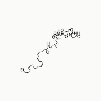 CC/C=C\C/C=C\C/C=C\C/C=C\C/C=C\C/C=C\CCC(=O)NCCN(C)CCNP(=O)(OC)OC[C@H]1OC(n2ccc(=O)[nH]c2=O)[C@](C)(F)[C@@H]1O